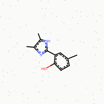 Cc1ccc(O)c(-c2nc(C)c(C)[nH]2)c1